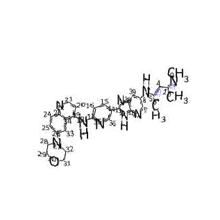 C/N=C(C)\C=C(/C)Nc1cnc2[nH]c(-c3ccc(Nc4ccnc5ccc(N6CCOCC6)cc45)nc3)nc2c1